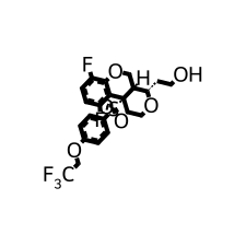 O=S(=O)(c1ccc(OCC(F)(F)F)cc1)[C@@]12CCO[C@@H](CCO)[C@@H]1COc1c(F)ccc(F)c12